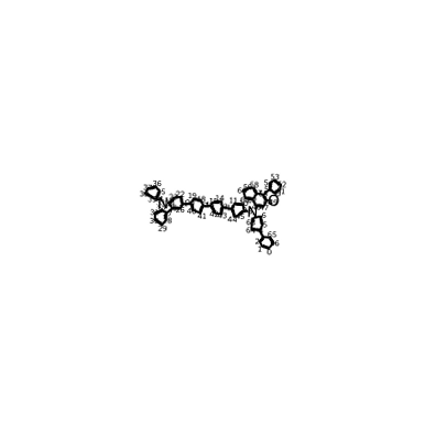 c1ccc(-c2ccc(N(c3ccc(-c4ccc(-c5ccc(-c6ccc7c(c6)c6ccccc6n7-c6ccccc6)cc5)cc4)cc3)c3cc4oc5ccccc5c4c4ccccc34)cc2)cc1